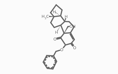 C[C@@]12CCC[C@H]1[C@@H]1CCC3=CC(=O)C(OCc4ccccc4)C(=O)[C@]3(CO)[C@H]1CC2